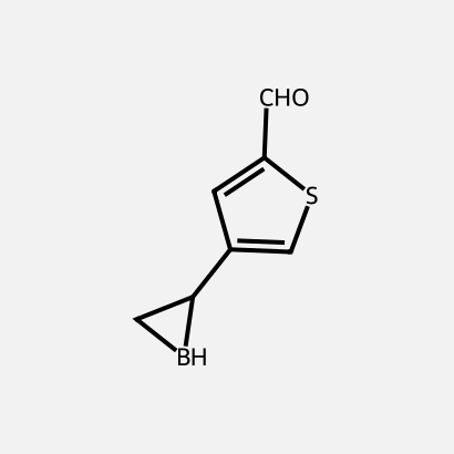 O=Cc1cc(C2BC2)cs1